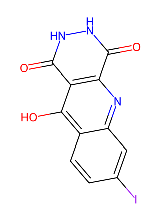 O=c1[nH][nH]c(=O)c2c(O)c3ccc(I)cc3nc12